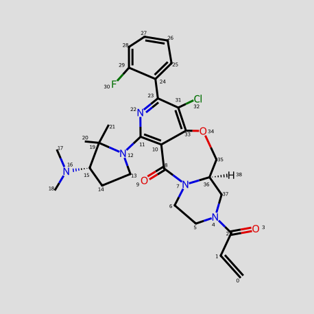 C=CC(=O)N1CCN2C(=O)c3c(N4CC[C@H](N(C)C)C4(C)C)nc(-c4ccccc4F)c(Cl)c3OC[C@H]2C1